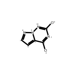 Clc1nc(Cl)c2ccnn2n1